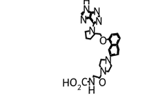 O=C(O)NCC(=O)N1CCN(c2ccc3cccc(OCC4CCCN4c4ncnc5[nH]cnc45)c3c2)CC1